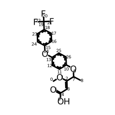 COC(=CC(=O)O)C(C)Oc1ccc(Oc2ccc(C(F)(F)F)cc2)cc1